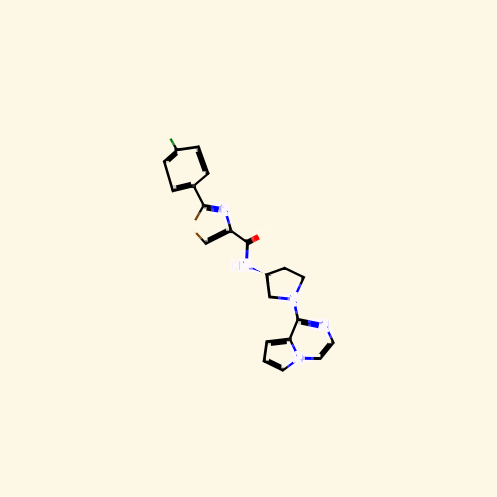 O=C(N[C@H]1CCN(c2nccn3cccc23)C1)c1csc(-c2ccc(F)cc2)n1